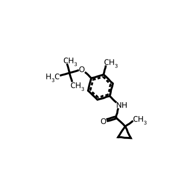 Cc1cc(NC(=O)C2(C)CC2)ccc1OC(C)(C)C